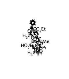 CCOC(=O)[C@]1(NC(=O)C(C)C(OC)[C@@H]2CCCN2C(=O)CC(OC)C(C(C)CC)N(C)C(=O)C(NC(=O)C(C(C)C)N(C)CCCC(=O)O)C(C)C)C[C@@H]1c1ccccc1